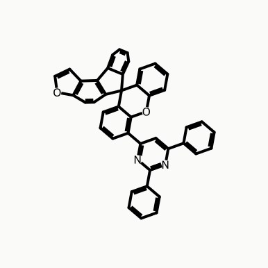 c1ccc(-c2cc(-c3cccc4c3Oc3ccccc3C43c4ccccc4-c4c3ccc3occc43)nc(-c3ccccc3)n2)cc1